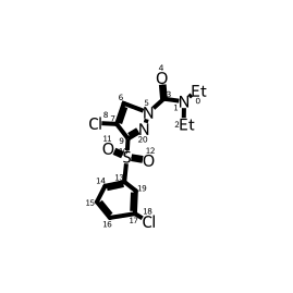 CCN(CC)C(=O)n1cc(Cl)c(S(=O)(=O)c2cccc(Cl)c2)n1